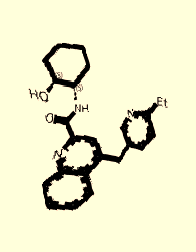 CCc1ccc(Cc2cc(C(=O)N[C@H]3CCCC[C@@H]3O)nc3ccccc23)cn1